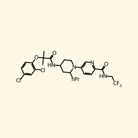 CCCC1CC(NC(=O)C(C)(C)Oc2ccc(Cl)cc2Cl)CCN1c1ccc(C(=O)NCC(F)(F)F)nc1